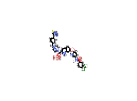 Br.CN(C(=O)c1ccc(Cl)c(Cl)c1)c1ccc(Oc2ccc3cc(C(=O)N4CCN(Cc5ccc(-c6csnn6)cc5)CC4)n(C)c3c2)nc1